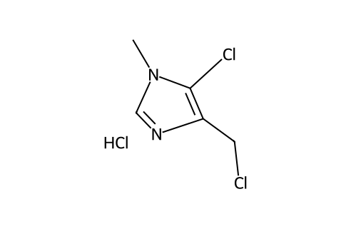 Cl.Cn1cnc(CCl)c1Cl